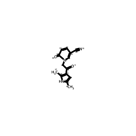 Cc1cc(C(=O)Cn2cc(C#N)ccc2=O)c(C)[nH]1